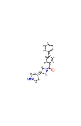 O=C(c1ccc(-c2ccccc2)cc1)N1CC(C2CCNCC2)C1